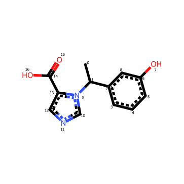 CC(c1cccc(O)c1)n1cncc1C(=O)O